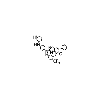 O=c1c(-c2ccccc2)cc2cnc(Nc3ccc(NC4CCCNC4)cc3)nc2n1Cc1ccccc1C(F)(F)F